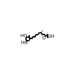 C=C1/C(=C\C=C\CCC[C@@H](C)CCC(=O)C(C)(C)O)C[C@@H](O)C[C@H]1O